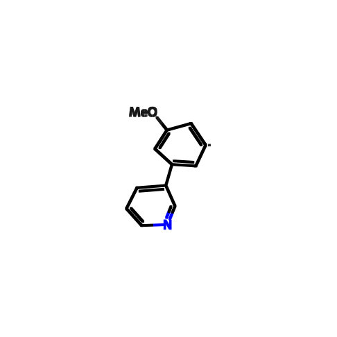 COc1c[c]cc(-c2cccnc2)c1